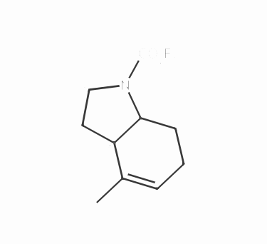 CCOC(=O)N1CCC2C(C)=CCCC21